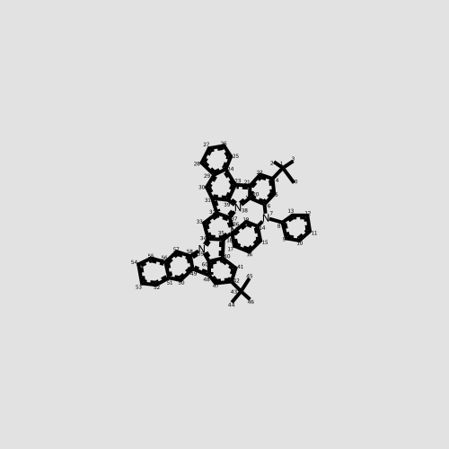 CC(C)(C)c1cc(N(c2ccccc2)c2ccccc2)c2c(c1)c1c3ccccc3cc3c4cc5c(nc4n2c31)c1cc(C(C)(C)C)cc2c3cc4ccccc4cc3n5c21